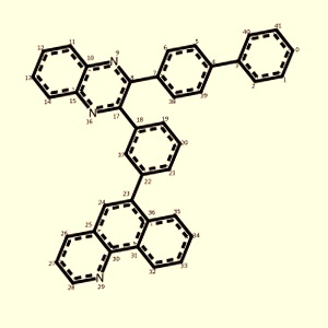 c1ccc(-c2ccc(-c3nc4ccccc4nc3-c3cccc(-c4cc5cccnc5c5ccccc45)c3)cc2)cc1